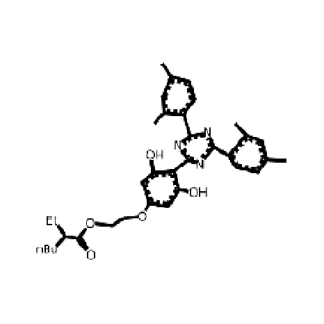 CCCCC(CC)C(=O)OCCOc1cc(O)c(-c2nc(-c3ccc(C)cc3C)nc(-c3ccc(C)cc3C)n2)c(O)c1